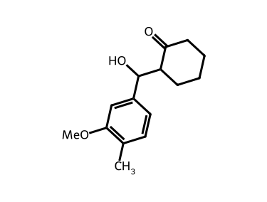 COc1cc(C(O)C2CCCCC2=O)ccc1C